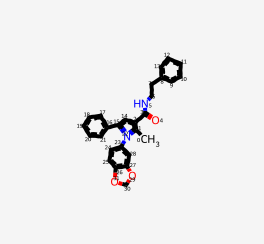 Cc1c(C(=O)NCCc2ccccc2)cc(-c2ccccc2)n1-c1ccc2c(c1)OCO2